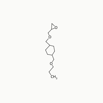 CCCOCC1CCC(COCC2CO2)CC1